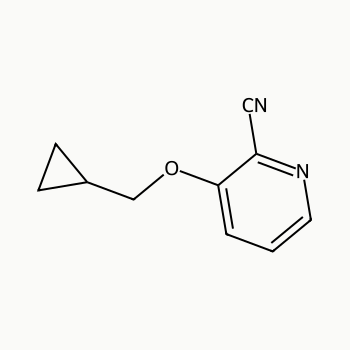 N#Cc1ncccc1OCC1CC1